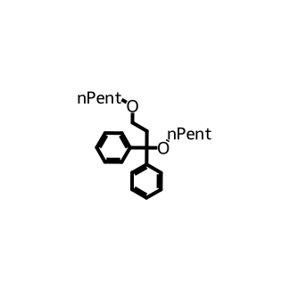 CCCCCOCCC(OCCCCC)(c1ccccc1)c1ccccc1